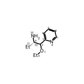 CCOC(c1ccccn1)[C@@H](N)CC